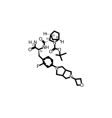 CC(C)(C)OC(=O)N1[C@@H]2CC[C@@H](C2)[C@H]1C(=O)N[C@@H](Cc1ccc(N2CC3CN(C4COC4)CC3C2)cc1F)C(N)=O